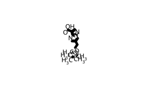 CC(C)(C)[Si](C)(C)OCCc1cnc2c(C(=O)O)cnn2c1